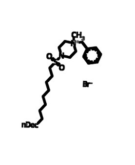 CCCCCCCCCCCCCCCCCCS(=O)(=O)N1CC[N+](C)(Cc2ccccc2)CC1.[Br-]